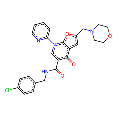 O=C(NCc1ccc(Cl)cc1)c1cn(-c2ccccn2)c2oc(CN3CCOCC3)cc2c1=O